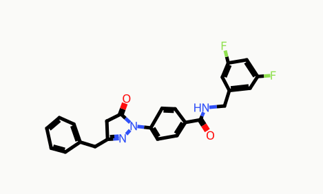 O=C(NCc1cc(F)cc(F)c1)c1ccc(N2N=C(Cc3ccccc3)CC2=O)cc1